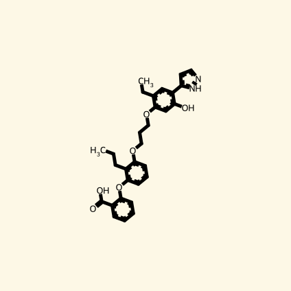 CCCc1c(OCCCOc2cc(O)c(-c3ccn[nH]3)cc2CC)cccc1Oc1ccccc1C(=O)O